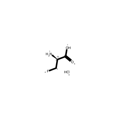 Cl.N[C@H](CF)C(=O)O